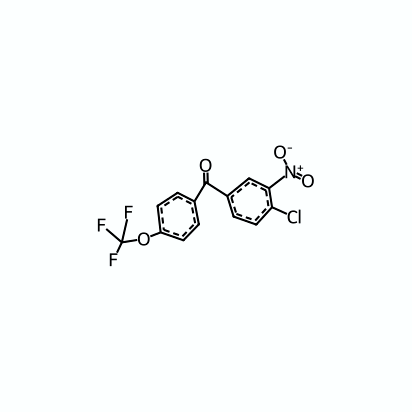 O=C(c1ccc(OC(F)(F)F)cc1)c1ccc(Cl)c([N+](=O)[O-])c1